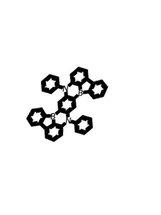 c1ccc(N2c3cc4c(cc3B3c5ccccc5-c5cccc2c53)N(c2ccccc2)c2cccc3c2B4c2ccccc2-3)cc1